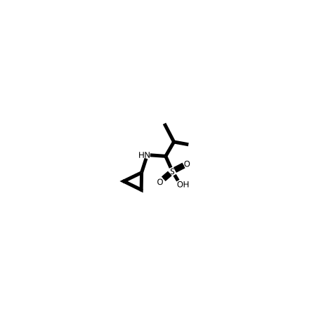 CC(C)C(NC1CC1)S(=O)(=O)O